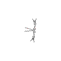 CCCCCCCCCC1(CCCCCCCCC)c2cc(/C=C/c3ccc(N(CCCC)CCCC)cc3)ccc2-c2ccc(/C=C/c3ccc(N(CCCC)CCCC)cc3)cc21